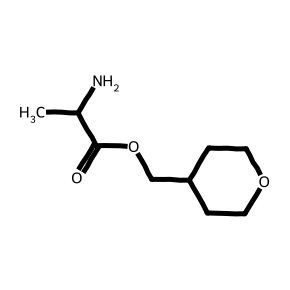 CC(N)C(=O)OCC1CCOCC1